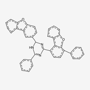 c1ccc(C2=NC(c3ccc(-c4ccccc4)c4oc5ccccc5c34)=NC(c3ccc4oc5ccccc5c4c3)N2)cc1